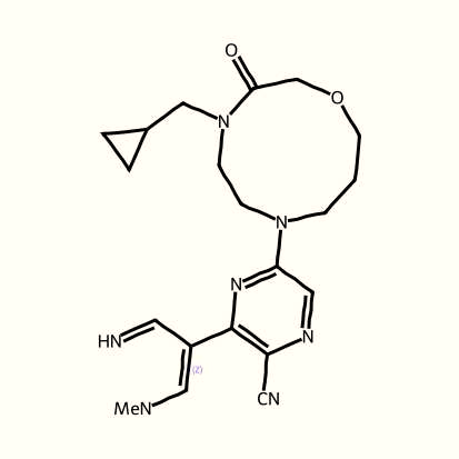 CN/C=C(\C=N)c1nc(N2CCCOCC(=O)N(CC3CC3)CC2)cnc1C#N